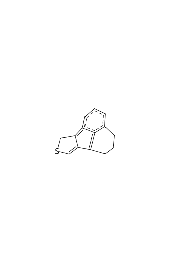 C1=C2C(=c3cccc4c3=C2CCC4)CS1